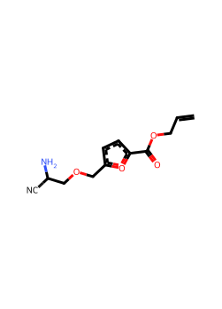 C=CCOC(=O)c1ccc(COCC(N)C#N)o1